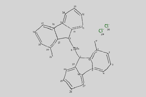 Cc1cccc2c1[CH]([Ti+2][CH]1c3ccccc3-c3cccc(C)c31)c1ccccc1-2.[Cl-].[Cl-]